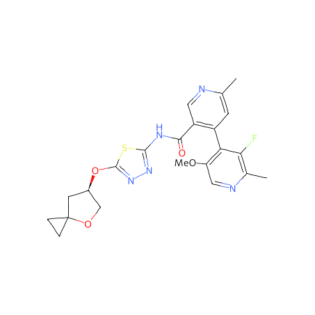 COc1cnc(C)c(F)c1-c1cc(C)ncc1C(=O)Nc1nnc(O[C@H]2COC3(CC3)C2)s1